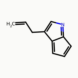 C=CCC1=CN=C2C=CC=C12